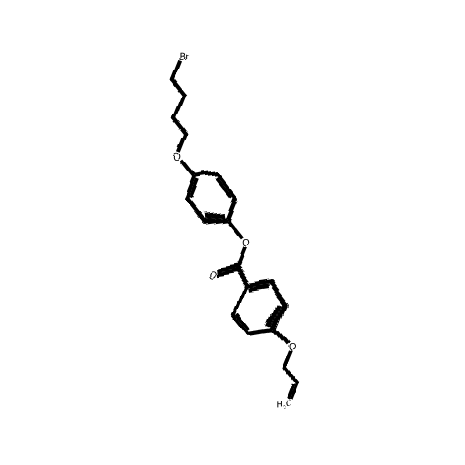 C=CCOc1ccc(C(=O)Oc2ccc(OCCCCBr)cc2)cc1